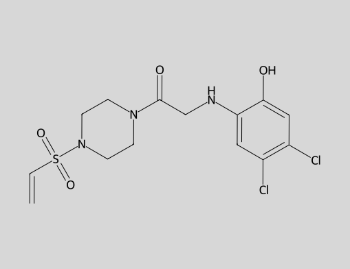 C=CS(=O)(=O)N1CCN(C(=O)CNc2cc(Cl)c(Cl)cc2O)CC1